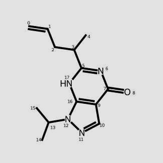 C=CCC(C)c1nc(=O)c2cnn(C(C)C)c2[nH]1